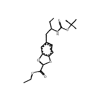 CCOC(=O)C1Oc2ccc(CC(CC)NC(=O)OC(C)(C)C)cc2O1